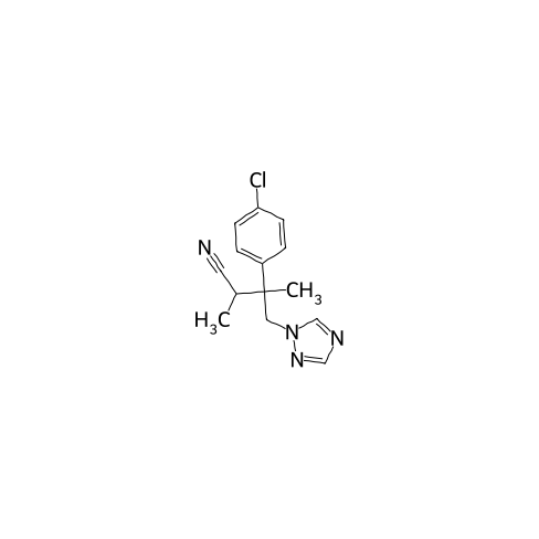 CC(C#N)C(C)(Cn1cncn1)c1ccc(Cl)cc1